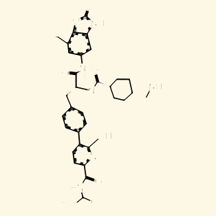 Cc1nc(C(=O)NC(C)C(F)(F)F)ccc1-c1ccc(C[C@H](NC(=O)[C@H]2CC[C@H](CN)CC2)C(=O)Nc2cc(Cl)c3oc(=O)[nH]c3c2)cc1